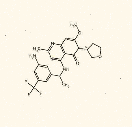 COC1=Cc2nc(C)nc(NC(C)c3cc(N)cc(C(F)(F)F)c3)c2C(=O)C1[C@@H]1CCOC1